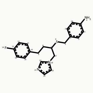 Nc1ccc(CSC(CCc2ccc(F)cc2)Cn2ccnc2)cc1